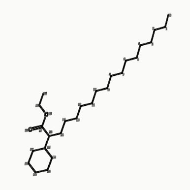 CCCCCCCCCCCCCCCCC(C(=O)OCC)C1CCCCC1